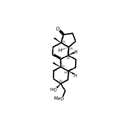 COC[C@]1(O)CC[C@]2(C)C3=CC[C@]4(C)C(=O)CC[C@H]4[C@@H]3CC[C@@H]2C1